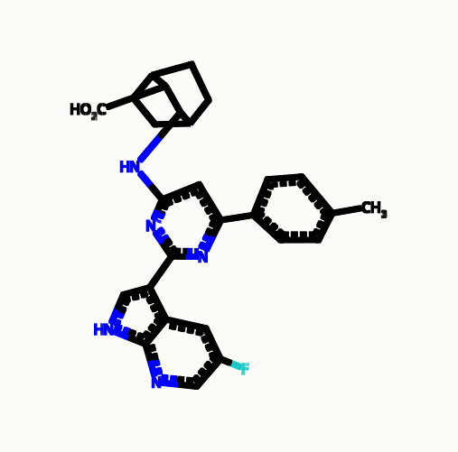 Cc1ccc(-c2cc(NC3C4CCC(CC4)C3C(=O)O)nc(-c3c[nH]c4ncc(F)cc34)n2)cc1